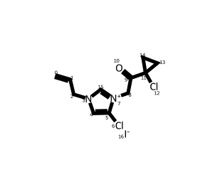 C=CCn1cc(Cl)[n+](CC(=O)C2(Cl)CC2)c1.[I-]